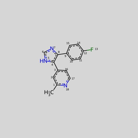 Cc1cc(-c2[nH]cnc2-c2ccc(F)cc2)ccn1